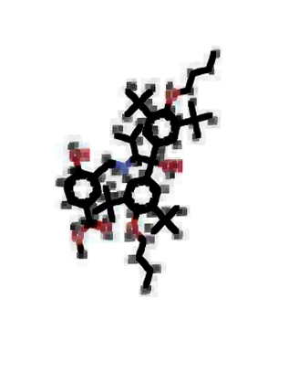 CCCCOc1c(C(C)(C)C)cc(C(O)(c2cc(C(C)(C)C)c(OCCCC)c(C(C)(C)C)c2)C(N=Cc2cc(C(=O)OC)ccc2O)C(C)C)cc1C(C)(C)C